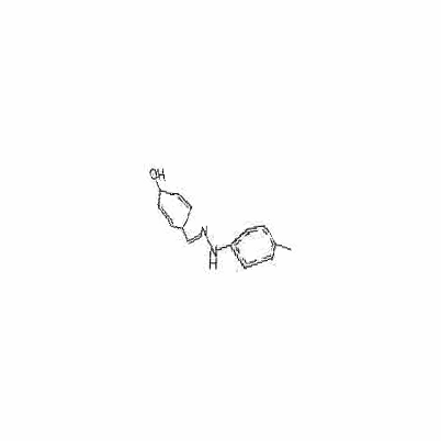 Cc1ccc(NN=CC2C=CC(O)C=C2)cc1